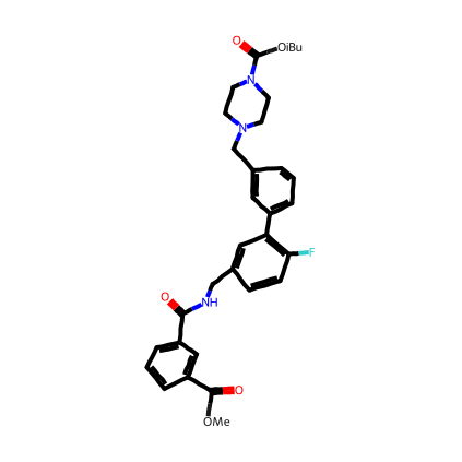 COC(=O)c1cccc(C(=O)NCc2ccc(F)c(-c3cccc(CN4CCN(C(=O)OCC(C)C)CC4)c3)c2)c1